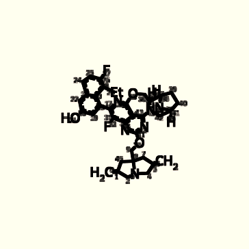 C=C1CN2CC(=C)CC2(COc2nc3c4c(nc(-c5cc(O)cc6ccc(F)c(CC)c56)c(F)c4n2)OC[C@@H]2[C@@H]4CC[C@H](CN32)N4)C1